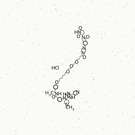 C[C@@H](NC(=O)c1cccc(NC2(c3nnc(-c4ccncc4)[nH]3)CCN(C)CC2)c1)c1ccc(OCCCCCCOCCOCCOCCCC(=O)N2CCN(c3ccc4c(c3)CN(C3CCC(=O)NC3=O)C4=O)CC2)cc1.Cl